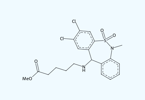 COC(=O)CCCCNC1c2ccccc2N(C)S(=O)(=O)c2cc(Cl)c(Cl)cc21